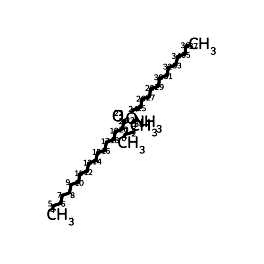 CCCC.CCCCCCCCCCCCCCCCCC(=O)OCCCCCCCCCCCCCC.N